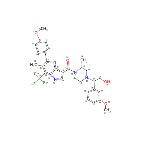 COc1ccc(-c2nc3c(C(=O)N4CCN(C(CO)c5cccc(OC)c5)C[C@H]4C)cnn3c(C(F)(F)F)c2C)cc1